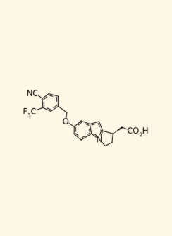 N#Cc1ccc(COc2ccc3c(c2)cc2n3CC[C@@H]2CC(=O)O)cc1C(F)(F)F